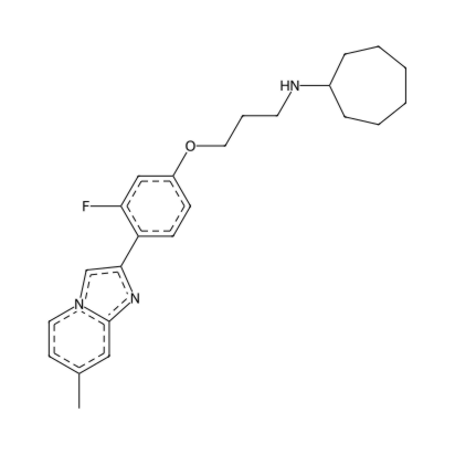 Cc1ccn2cc(-c3ccc(OCCCNC4CCCCCC4)cc3F)nc2c1